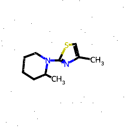 Cc1csc(N2CCCCC2C)n1